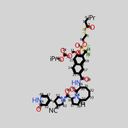 CC(C)CC(=O)SCCOP(=O)(OCOC(=O)OC(C)C)C(F)(F)c1ccc2ccc(C(=O)N[C@H]3CCCC[C@H]4CC[C@@H](C(=O)N5C[C@@H](C#N)[C@H](c6cc[nH]c(=O)c6)C5)N4C3=O)cc2c1